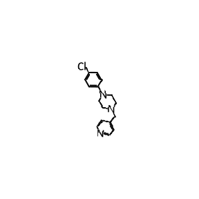 Clc1ccc(N2CCN(Cc3ccncc3)CC2)cc1